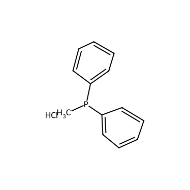 CP(c1ccccc1)c1ccccc1.Cl